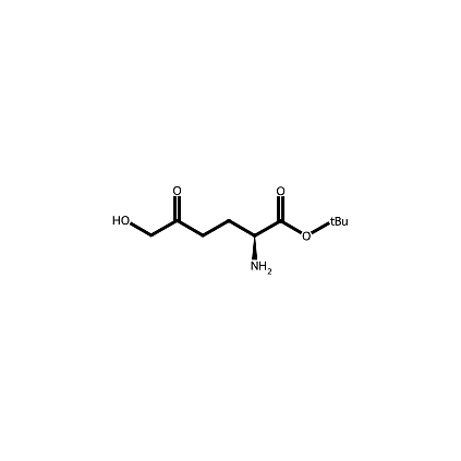 CC(C)(C)OC(=O)[C@@H](N)CCC(=O)CO